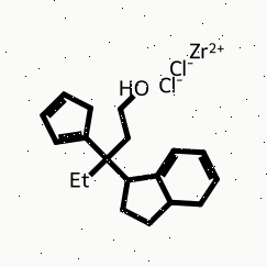 CCC(CCO)(C1=CC=CC1)C1CCC2CC=CC=C21.[Cl-].[Cl-].[Zr+2]